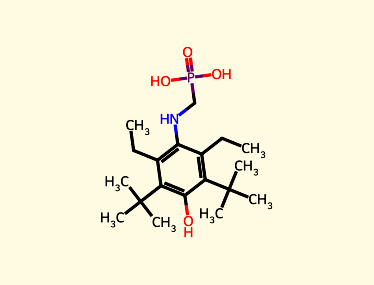 CCc1c(NCP(=O)(O)O)c(CC)c(C(C)(C)C)c(O)c1C(C)(C)C